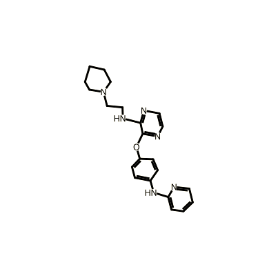 c1ccc(Nc2ccc(Oc3nccnc3NCCN3CCCCC3)cc2)nc1